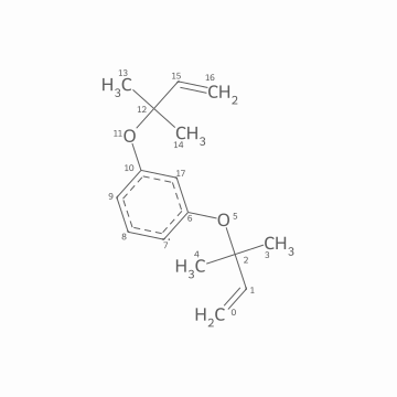 C=CC(C)(C)Oc1[c]ccc(OC(C)(C)C=C)c1